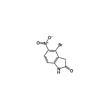 O=C1Cc2c(ccc([N+](=O)[O-])c2Br)N1